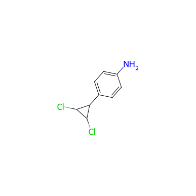 Nc1ccc(C2C(Cl)C2Cl)cc1